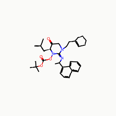 CC(C)C[C@H]1C(=O)CN(CCC2=CCCCC2)C(=NC(C)c2cccc3ccccc23)N1OC(=O)OC(C)(C)C